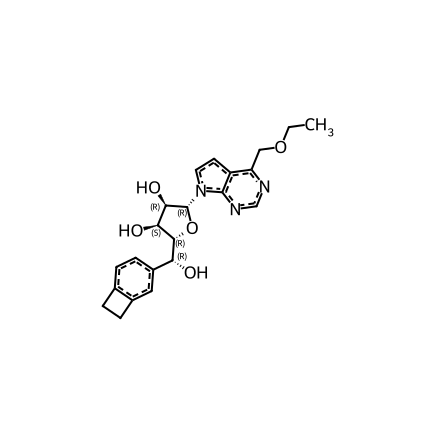 CCOCc1ncnc2c1ccn2[C@@H]1O[C@H]([C@H](O)c2ccc3c(c2)CC3)[C@@H](O)[C@H]1O